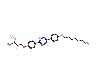 CCCCCCCOc1ccc(-c2cnc(-c3ccc(OCC(F)C(C)CC)cc3)nc2)cc1